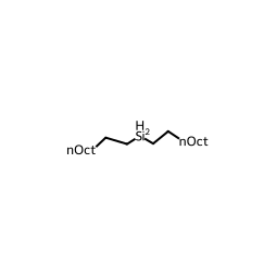 CCCCCCCCCC[SiH2]CCCCCCCCCC